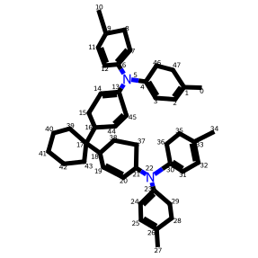 CC1=CC=C(N(C2=CCC(C)C=C2)C2=CCC(C3(C4C=CC(N(C5=CC=C(C)CC5)C5=CC=C(C)CC5)CC4)CCCCC3)C=C2)CC1